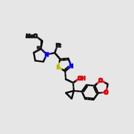 CCC(c1cnc(CC(O)C2(c3ccc4c(c3)OCO4)CC2)s1)N1CCC[C@H]1COC